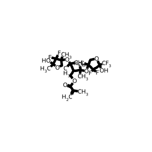 C=C(C)C(=O)OCC(C(C)(C)OC1(C)COC(C)(O)C1(F)F)C(C)(C)OC1(C)COC(O)(C(F)(F)F)C1(F)F